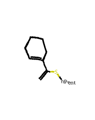 C=C(SCCCCC)C1=CCCCC1